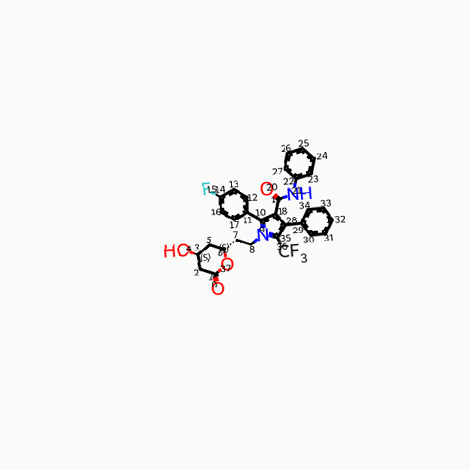 O=C1C[C@@H](O)C[C@H](CCn2c(-c3ccc(F)cc3)c(C(=O)Nc3ccccc3)c(-c3ccccc3)c2C(F)(F)F)O1